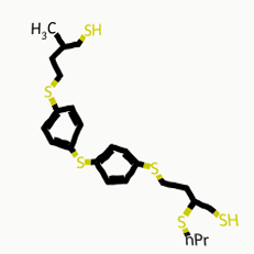 CCCSC(CS)CCSc1ccc(Sc2ccc(SCCC(C)CS)cc2)cc1